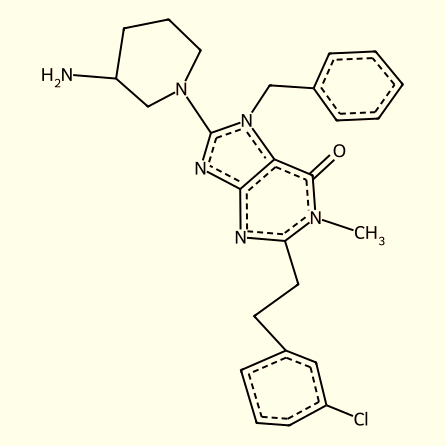 Cn1c(CCc2cccc(Cl)c2)nc2nc(N3CCCC(N)C3)n(Cc3ccccc3)c2c1=O